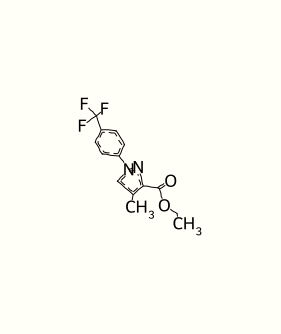 CCOC(=O)c1nn(-c2ccc(C(F)(F)F)cc2)cc1C